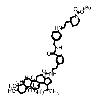 C=C(C)[C@@H]1CC[C@]2(C(=O)NCCc3cccc(C(=O)NCc4ccc(NCCC5CCCN(C(=O)OC(C)(C)C)C5)cc4)c3)CC[C@]3(C)C(CCC4[C@@]5(C)CC[C@H](O)C(C)(C)C5CC[C@]43C)C12